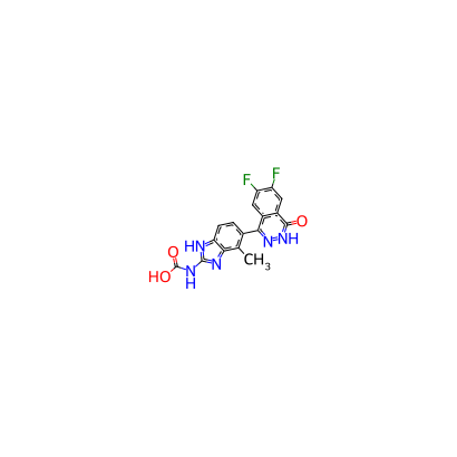 Cc1c(-c2n[nH]c(=O)c3cc(F)c(F)cc23)ccc2[nH]c(NC(=O)O)nc12